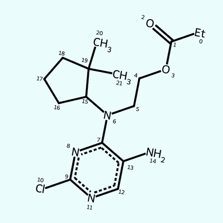 CCC(=O)OCCN(c1nc(Cl)ncc1N)C1CCCC1(C)C